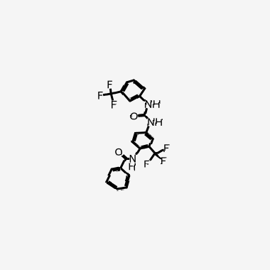 O=C(Nc1cccc(C(F)(F)F)c1)Nc1ccc(NC(=O)c2ccccc2)c(C(F)(F)F)c1